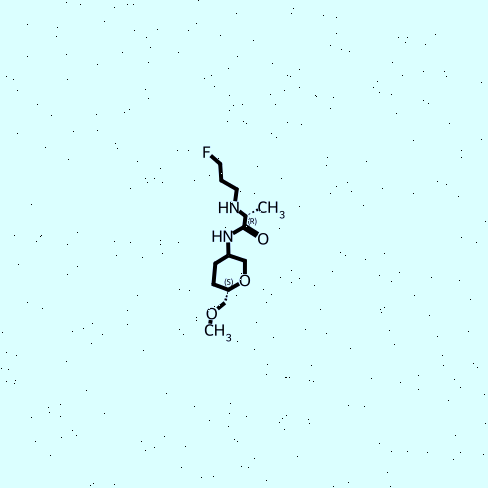 COC[C@@H]1CCC(NC(=O)[C@@H](C)NCCCF)CO1